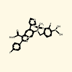 CNC(=O)c1c(-c2ccc(F)cc2)nn2cc(N(Cc3ccc(B(O)O)c(F)c3)S(C)(=O)=O)c(-c3ccoc3)cc12